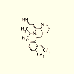 C=Cc1c(C)cccc1CCc1cccnc1/C(=C/C=N)NC(C)C